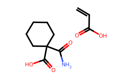 C=CC(=O)O.NC(=O)C1(C(=O)O)CCCCC1